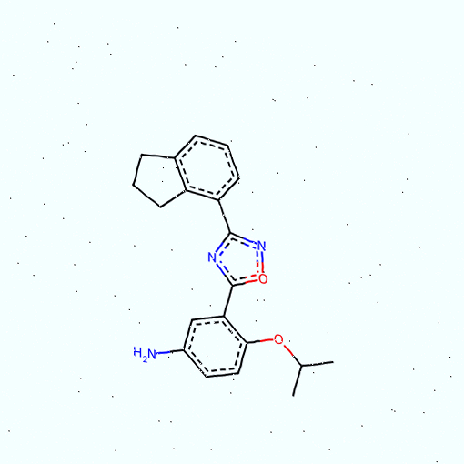 CC(C)Oc1ccc(N)cc1-c1nc(-c2cccc3c2CCC3)no1